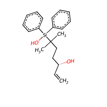 C=C[C@@H](O)CCC(C)(C)[Si](O)(c1ccccc1)c1ccccc1